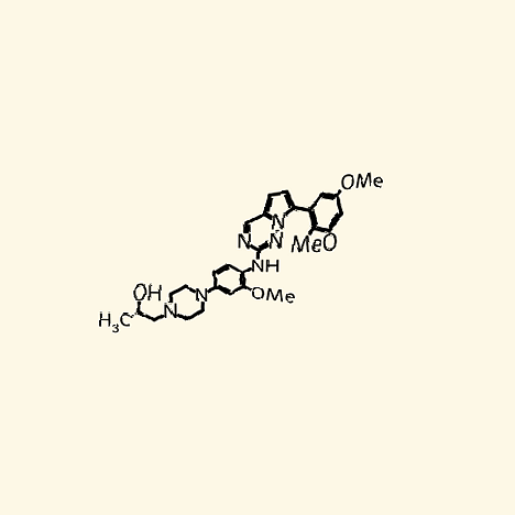 COc1ccc(OC)c(-c2ccc3cnc(Nc4ccc(N5CCN(C[C@H](C)O)CC5)cc4OC)nn23)c1